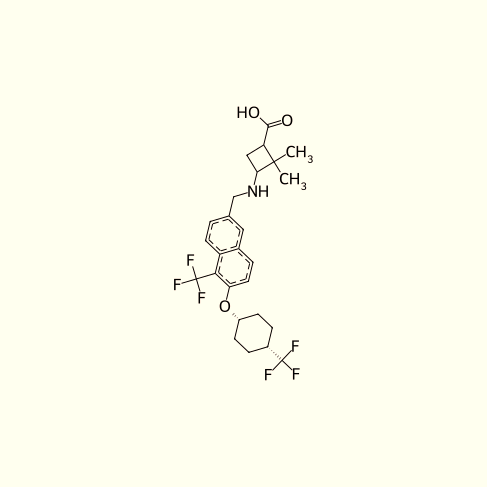 CC1(C)C(NCc2ccc3c(C(F)(F)F)c(O[C@H]4CC[C@@H](C(F)(F)F)CC4)ccc3c2)CC1C(=O)O